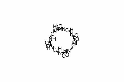 O=C1NCCNC(=O)C(=O)NCCNC(=O)C(=O)NCCNC(=O)C(=O)NCCNC1=O